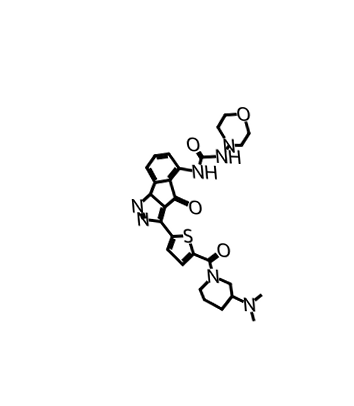 CN(C)C1CCCN(C(=O)c2ccc(C3=C4C(=O)c5c(NC(=O)NN6CCOCC6)cccc5C4N=N3)s2)C1